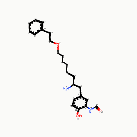 NC(CCCCCCOCCc1ccccc1)Cc1ccc(O)c(NC=O)c1